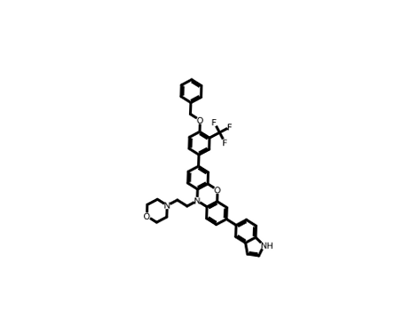 FC(F)(F)c1cc(-c2ccc3c(c2)Oc2cc(-c4ccc5[nH]ccc5c4)ccc2N3CCN2CCOCC2)ccc1OCc1ccccc1